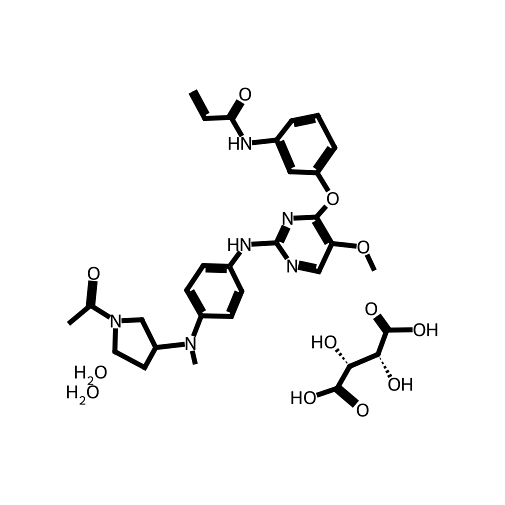 C=CC(=O)Nc1cccc(Oc2nc(Nc3ccc(N(C)C4CCN(C(C)=O)C4)cc3)ncc2OC)c1.O.O.O=C(O)[C@H](O)[C@@H](O)C(=O)O